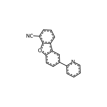 N#Cc1cccc2c1oc1ccc(-c3ccccn3)cc12